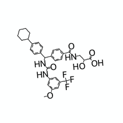 COc1cc(NC(=O)NC(c2ccc(C(=O)NCC(O)C(=O)O)cc2)c2ccc(C3CCCCC3)cc2)cc(C(F)(F)F)c1